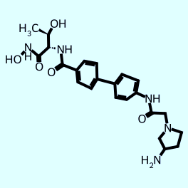 C[C@@H](O)[C@H](NC(=O)c1ccc(-c2ccc(NC(=O)CN3CCC(N)C3)cc2)cc1)C(=O)NO